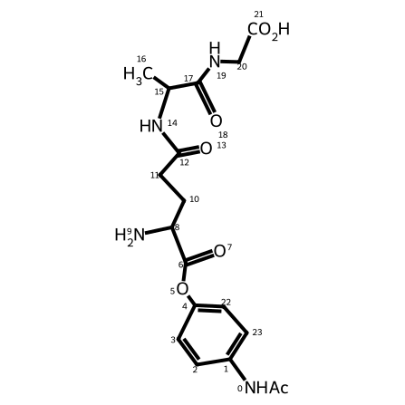 CC(=O)Nc1ccc(OC(=O)C(N)CCC(=O)NC(C)C(=O)NCC(=O)O)cc1